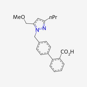 CCCc1cc(COC)n(Cc2ccc(-c3ccccc3C(=O)O)cc2)n1